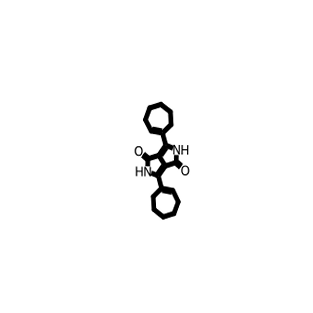 O=C1NC(C2=CCCCCC2)=C2C(=O)NC(C3=CCCCCC3)=C12